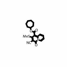 CSc1c(C#N)c(=O)n2ccccc2c1C(=O)OC1CCCCCC1